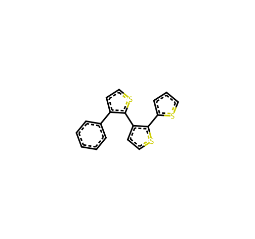 c1ccc(-c2ccsc2-c2ccsc2-c2cccs2)cc1